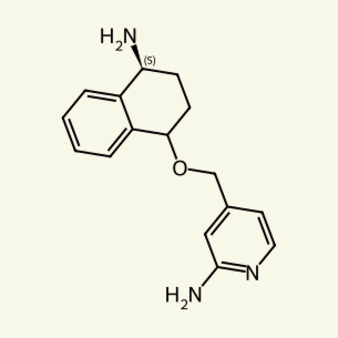 Nc1cc(COC2CC[C@H](N)c3ccccc32)ccn1